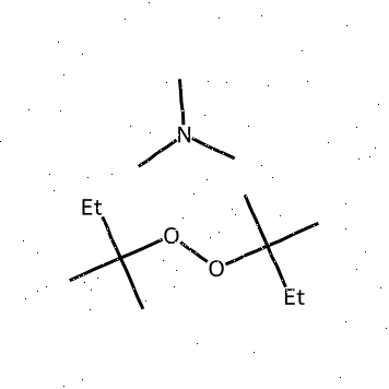 CCC(C)(C)OOC(C)(C)CC.CN(C)C